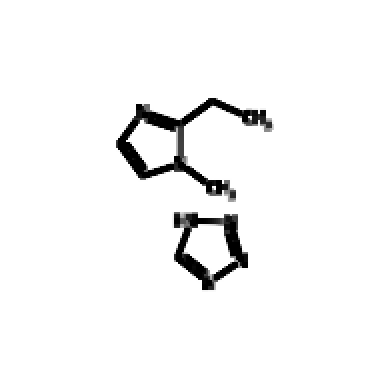 CCc1nccn1C.c1nnn[nH]1